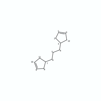 C1=CCC(CCCC2CC=CC2)C1